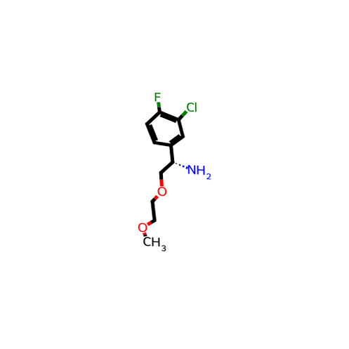 COCCOC[C@@H](N)c1ccc(F)c(Cl)c1